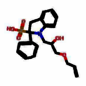 C=CCOCC(O)CN1c2ccccc2CC1(c1ccccc1)S(=O)(=O)O